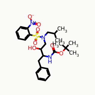 CC(C)CN(CC(O)C(Cc1ccccc1)NC(=O)OC(C)(C)C)S(=O)(=O)c1ccccc1[N+](=O)[O-]